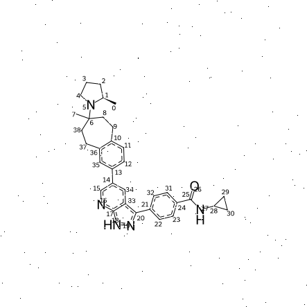 C[C@@H]1CCCN1C1(C)CCc2ccc(-c3cnc4[nH]nc(-c5ccc(C(=O)NC6CC6)cc5)c4c3)cc2CC1